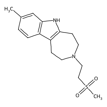 Cc1ccc2c3c([nH]c2c1)CCN(CCS(C)(=O)=O)CC3